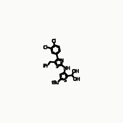 CC(C)Cc1sc(Nc2cc(C(C)(C)C)sc2C(O)O)nc1-c1ccc(Cl)c(Cl)c1